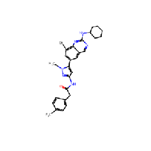 CCc1cc(-c2cc(NC(=O)Cc3ccc(C(F)(F)F)cc3)nn2C)cc2cnc(NC3CCCCC3)nc12